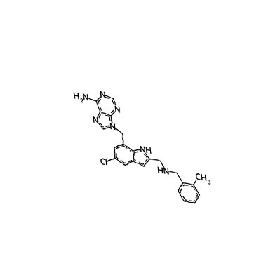 Cc1ccccc1CNCc1cc2cc(Cl)cc(Cn3cnc4c(N)ncnc43)c2[nH]1